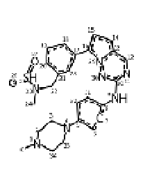 CN1CCN(c2ccc(Nc3ncc4ccc(-c5cccc(CN(C)[SH](=O)=O)c5)n4n3)cc2)CC1